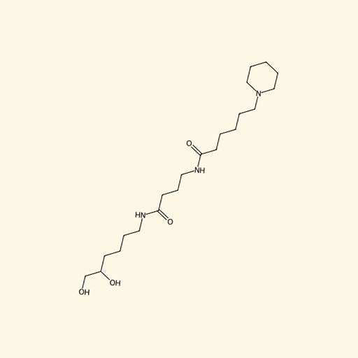 O=C(CCCCCN1CCCCC1)NCCCC(=O)NCCCCC(O)CO